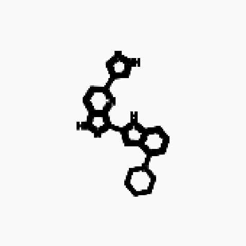 c1cc(N2CCCCC2)c2cc(-c3n[nH]c4ccc(-c5cn[nH]c5)nc34)[nH]c2c1